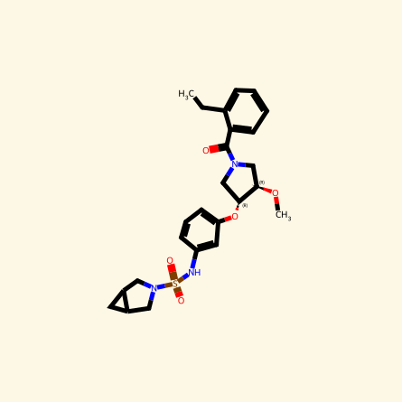 CCc1ccccc1C(=O)N1C[C@@H](OC)[C@H](Oc2cccc(NS(=O)(=O)N3CC4CC4C3)c2)C1